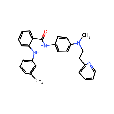 CN(CCc1ccccn1)c1ccc(NC(=O)c2ccccc2Nc2cccc(C(F)(F)F)c2)cc1